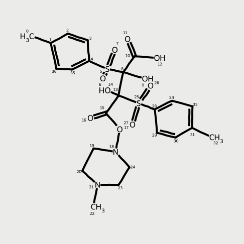 Cc1ccc(S(=O)(=O)C(O)(C(=O)O)C(O)(C(=O)ON2CCN(C)CC2)S(=O)(=O)c2ccc(C)cc2)cc1